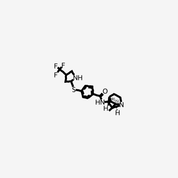 C[C@H]1[C@H](NC(=O)c2ccc(SC3CC(C(F)(F)F)CN3)cc2)C2CCN1CC2